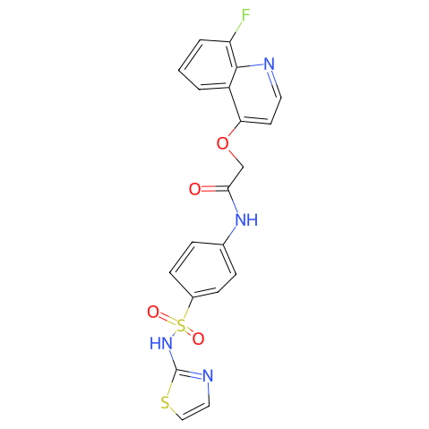 O=C(COc1ccnc2c(F)cccc12)Nc1ccc(S(=O)(=O)Nc2nccs2)cc1